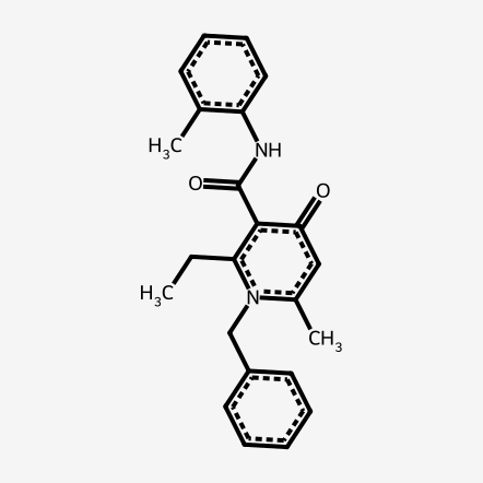 CCc1c(C(=O)Nc2ccccc2C)c(=O)cc(C)n1Cc1ccccc1